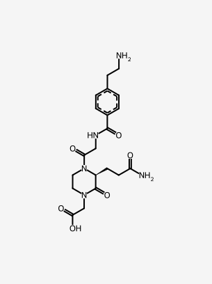 NCCc1ccc(C(=O)NCC(=O)N2CCN(CC(=O)O)C(=O)[C@@H]2CCC(N)=O)cc1